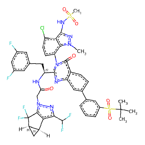 Cn1nc(NS(C)(=O)=O)c2c(Cl)ccc(-n3c([C@H](Cc4cc(F)cc(F)c4)NC(=O)Cn4nc(C(F)F)c5c4C(F)(F)[C@@H]4C[C@H]54)nc4cc(-c5cccc(S(=O)(=O)C(C)(C)C)c5)ccc4c3=O)c21